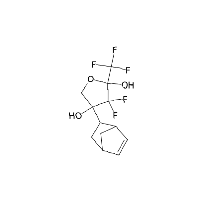 OC1(C2CC3C=CC2C3)COC(O)(C(F)(F)F)C1(F)F